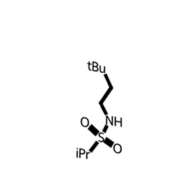 CC(C)S(=O)(=O)NCCC(C)(C)C